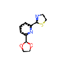 c1cc(C2=NCCS2)nc(C2OCCO2)c1